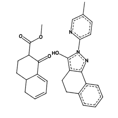 COC(=O)C1CCC2CC=CC=C2C1=O.Cc1ccc(-n2nc3c(c2O)CCc2ccccc2-3)nc1